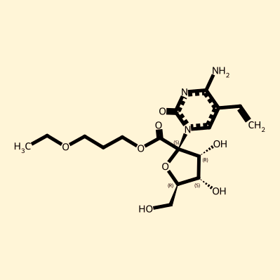 C=Cc1cn([C@]2(C(=O)OCCCOCC)O[C@H](CO)[C@@H](O)[C@H]2O)c(=O)nc1N